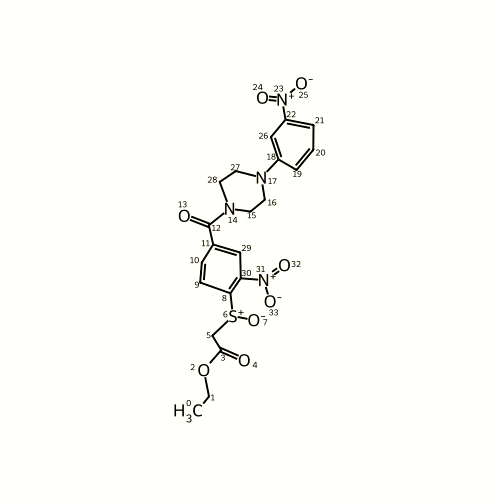 CCOC(=O)C[S+]([O-])c1ccc(C(=O)N2CCN(c3cccc([N+](=O)[O-])c3)CC2)cc1[N+](=O)[O-]